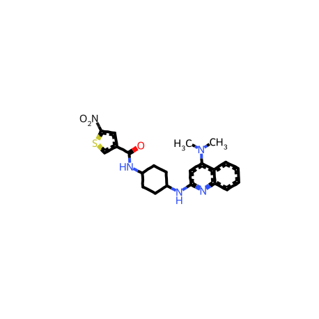 CN(C)c1cc(NC2CCC(NC(=O)c3csc([N+](=O)[O-])c3)CC2)nc2ccccc12